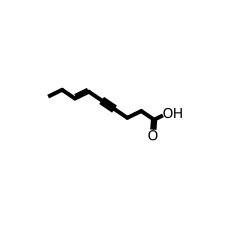 CCC=CC#CCCC(=O)O